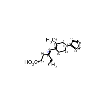 C=C/C(=C\C1=C(C)CN(c2cnsc2)CC1)CCC(=O)O